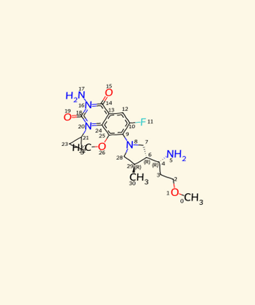 COCC[C@@H](N)[C@H]1CN(c2c(F)cc3c(=O)n(N)c(=O)n(C4CC4)c3c2OC)C[C@@H]1C